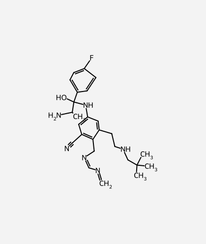 C=N/C=N\Cc1c(C#N)cc(NC(O)(c2ccc(F)cc2)C(C)N)cc1CCNCC(C)(C)C